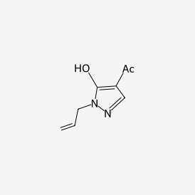 C=CCn1ncc(C(C)=O)c1O